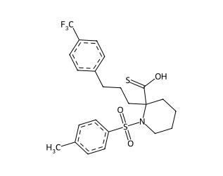 Cc1ccc(S(=O)(=O)N2CCCCC2(CCCc2ccc(C(F)(F)F)cc2)C(O)=S)cc1